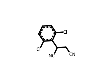 N#CCC(C#N)c1c(Cl)cccc1Cl